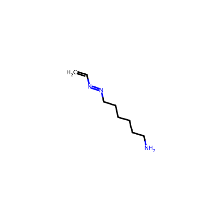 C=CN=NCCCCCCN